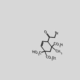 CCOC(=O)C1(C(=O)O)C=CC(C(=O)CBr)C(C)(C(=O)O)C1